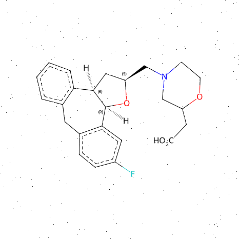 O=C(O)CC1CN(C[C@@H]2C[C@@H]3c4ccccc4Cc4ccc(F)cc4[C@@H]3O2)CCO1